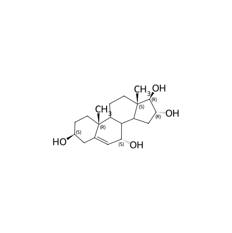 C[C@]12CC[C@H](O)CC1=C[C@@H](O)C1C2CC[C@@]2(C)C1C[C@@H](O)[C@@H]2O